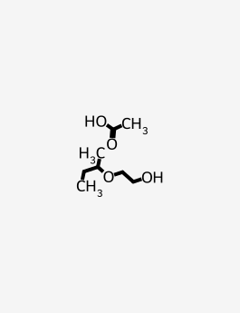 CC(=O)O.CCC(C)OCCO